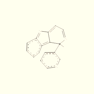 CCC1(c2cccnc2)N=CC=C2N=c3ccccc3=C21